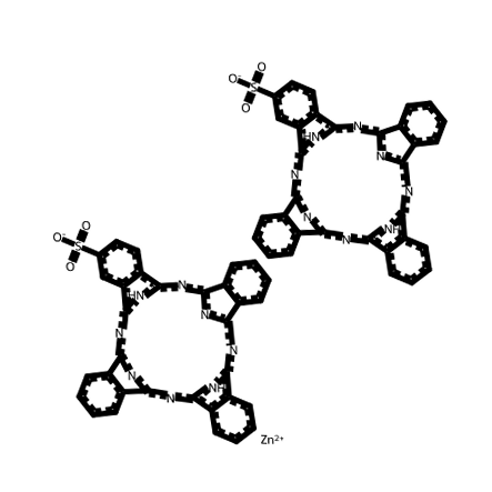 O=S(=O)([O-])c1ccc2c3nc4nc(nc5[nH]c(nc6nc(nc([nH]3)c2c1)-c1ccccc1-6)c1ccccc51)-c1ccccc1-4.O=S(=O)([O-])c1ccc2c3nc4nc(nc5[nH]c(nc6nc(nc([nH]3)c2c1)-c1ccccc1-6)c1ccccc51)-c1ccccc1-4.[Zn+2]